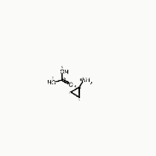 NC1CC1.O=C(O)O